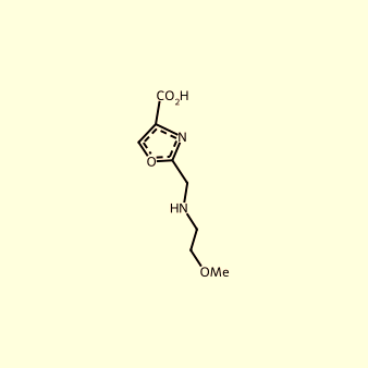 COCCNCc1nc(C(=O)O)co1